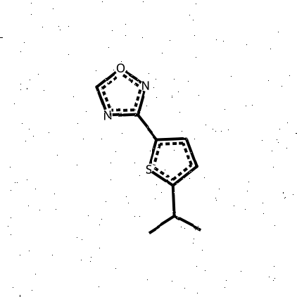 CC(C)c1ccc(-c2ncon2)s1